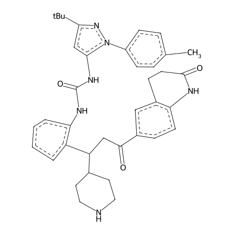 Cc1ccc(-n2nc(C(C)(C)C)cc2NC(=O)Nc2ccccc2C(CC(=O)c2ccc3c(c2)CCC(=O)N3)C2CCNCC2)cc1